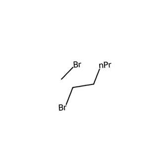 CBr.CCCCCBr